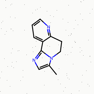 Cc1cnc2n1CCc1ncccc1-2